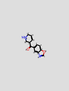 O=C(c1ccc2ocnc2c1)C1C=CCNC1